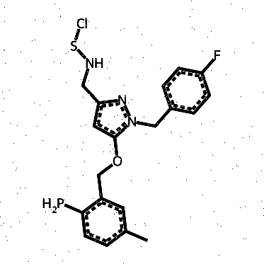 Cc1ccc(P)c(COc2cc(CNSCl)nn2Cc2ccc(F)cc2)c1